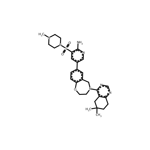 CN1CCN(S(=O)(=O)c2cc(-c3ccc4c(c3)CN(c3ncnc5c3CC(C)(C)CC5)CCO4)cnc2N)CC1